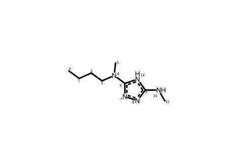 CCCCN(C)c1nnc(NC)[nH]1